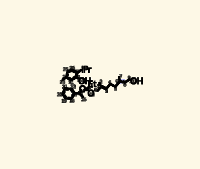 CC(C)=CCC/C(C)=C/CO.CCC(=O)OC(C)c1ccccc1.Cc1ccc(C(C)C)c(O)c1